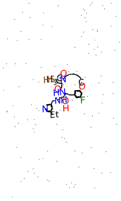 CCc1cncc(CNC[C@@H](O)C2Cc3cc(F)cc(c3)OCCCCCC(=O)N(C)C(CCS)C(=O)N2)c1